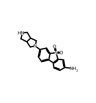 Nc1ccc2c(c1)S(=O)(=O)c1cc(N3CC4CNCC4C3)ccc1-2